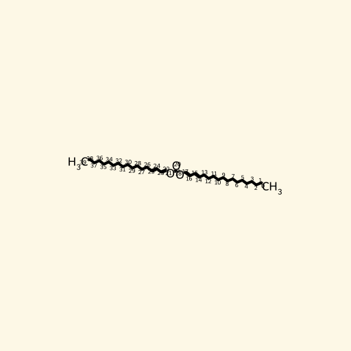 CCCCCCCCCCCCCC/C=C/C=C/OC(=O)O/C=C/C=C/CCCCCCCCCCCCCC